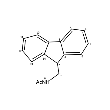 CC(=O)NCC1c2ccccc2-c2ccccc21